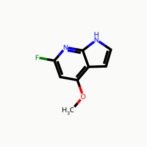 COc1cc(F)nc2[nH]ccc12